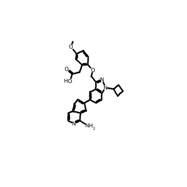 COc1ccc(OCc2nn(C3CCC3)c3ccc(-c4ccc5ccnc(N)c5c4)cc23)c(CC(=O)O)c1